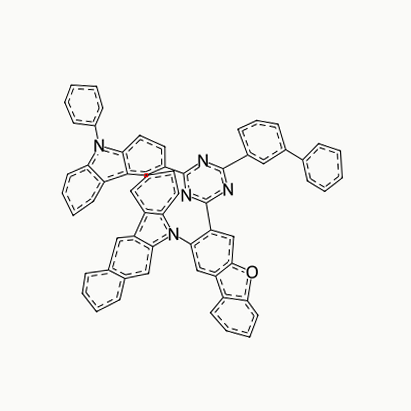 c1ccc(-c2cccc(-c3nc(-c4ccc5c(c4)c4ccccc4n5-c4ccccc4)nc(-c4cc5oc6ccccc6c5cc4-n4c5ccccc5c5cc6ccccc6cc54)n3)c2)cc1